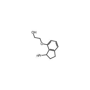 CCCC1CCc2cccc(OCCO)c21